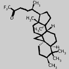 C[C@H](CCC(=O)C(F)(F)F)[C@H]1CC[C@@]2(C)[C@@H]3CC[C@H]4C(C)(C)[C@@H](C)CC[C@@]45CC35CC[C@]12C